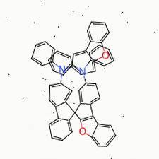 c1ccc(N(c2ccccc2)c2ccc3c(c2)C2(c4ccccc4-c4ccc(N(c5ccccc5)c5ccc6oc7ccccc7c6c5)cc42)c2oc4ccccc4c2-3)cc1